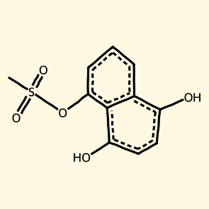 CS(=O)(=O)Oc1cccc2c(O)ccc(O)c12